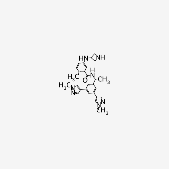 Cc1ccc(NC2CNC2)cc1C(=O)N[C@H](C)c1cc(-c2cnn(C)c2)cc(-c2cnn(C)c2)c1